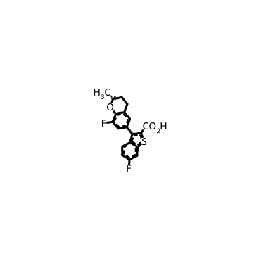 C[C@@H]1CCc2cc(-c3c(C(=O)O)sc4cc(F)ccc34)cc(F)c2O1